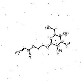 C=CC(=O)OCCOC1OC(CO)C(O)C(O)C1O